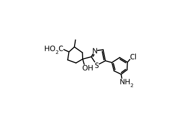 CC1CC(O)(c2ncc(-c3cc(N)cc(Cl)c3)s2)CCC1C(=O)O